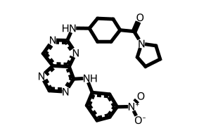 O=C(C1CCC(Nc2ncc3ncnc(Nc4cccc([N+](=O)[O-])c4)c3n2)CC1)N1CCCC1